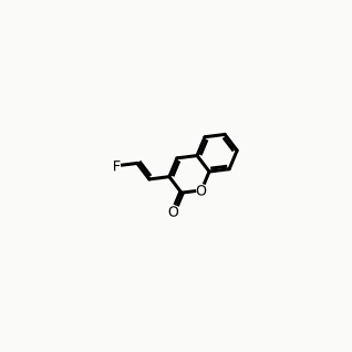 O=c1oc2ccccc2cc1C=CF